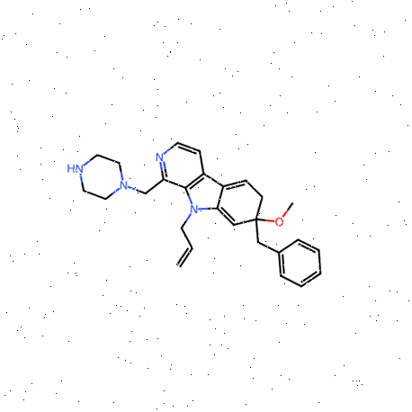 C=CCn1c2c(c3ccnc(CN4CCNCC4)c31)=CCC(Cc1ccccc1)(OC)C=2